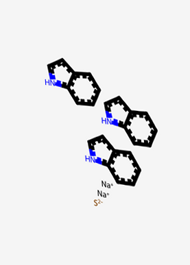 [Na+].[Na+].[S-2].c1ccc2[nH]ccc2c1.c1ccc2[nH]ccc2c1.c1ccc2[nH]ccc2c1